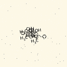 CCCC1(CCc2ccccc2)CC(O)=C(NS(=O)(=O)C2=C(C)N(C)C(c3ccccc3)N2C(C)(C)C)C(=O)O1